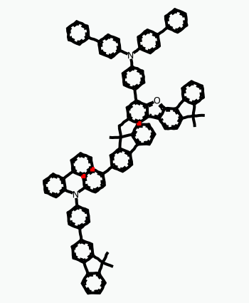 CC1(C)c2ccccc2-c2ccc(-c3ccc(N(c4ccc(-c5ccc6c(c5)C(C)(Cc5cc(-c7ccc(N(c8ccc(-c9ccccc9)cc8)c8ccc(-c9ccccc9)cc8)cc7)c7oc8c9c(ccc8c7c5)C(C)(C)c5ccccc5-9)c5ccccc5-6)cc4)c4ccccc4-c4ccccc4)cc3)cc21